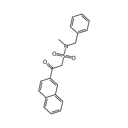 CN(Cc1ccccc1)S(=O)(=O)CC(=O)c1ccc2ccccc2c1